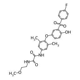 COCCNC(=O)C(=O)Nc1cc(C)c(Oc2ccc(O)c(S(=O)(=O)c3ccc(F)cc3)c2)c(C)c1